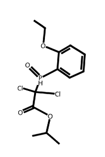 CCOc1ccccc1[PH](=O)C(Cl)(Cl)C(=O)OC(C)C